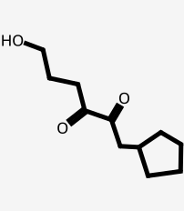 O=C(CCCO)C(=O)CC1CCCC1